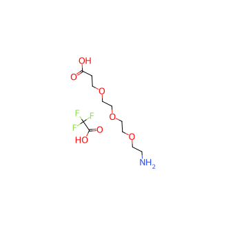 NCCOCCOCCOCCC(=O)O.O=C(O)C(F)(F)F